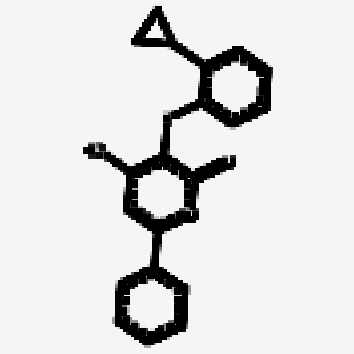 O=c1oc(-c2ccccc2)cc(O)c1Sc1ccccc1C1CC1